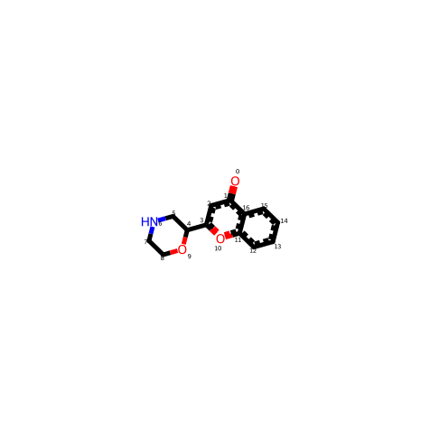 O=c1cc(C2CNCCO2)oc2ccccc12